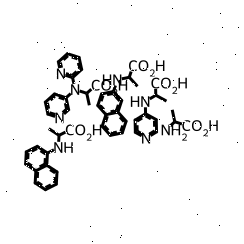 CC(C(=O)O)N(c1cccnc1)c1ccccn1.CC(N)C(=O)O.CC(Nc1ccc2ccccc2c1)C(=O)O.CC(Nc1cccc2ccccc12)C(=O)O.CC(Nc1ccncc1)C(=O)O